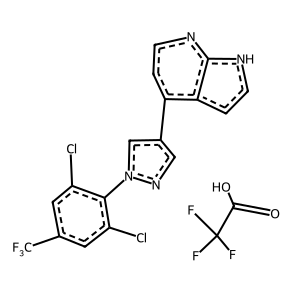 FC(F)(F)c1cc(Cl)c(-n2cc(-c3ccnc4[nH]ccc34)cn2)c(Cl)c1.O=C(O)C(F)(F)F